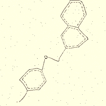 [CH2]c1ccc(OCc2ccc3ccccc3c2)cc1